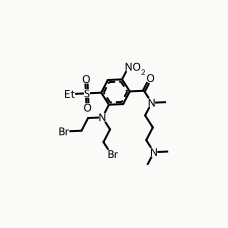 CCS(=O)(=O)c1cc([N+](=O)[O-])c(C(=O)N(C)CCCN(C)C)cc1N(CCBr)CCBr